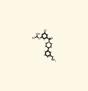 CC(=O)C(O)Oc1cc(Cl)cc(C(=O)N2CCC(c3cccc(CN)c3)CC2)c1